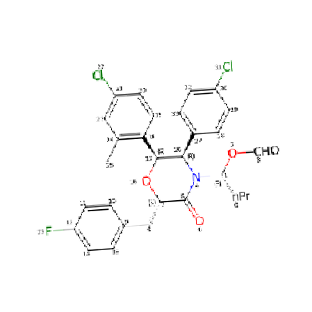 CCC[C@@H](OC=O)N1C(=O)[C@H](Cc2ccc(F)cc2)O[C@@H](c2ccc(Cl)cc2C)[C@H]1c1ccc(Cl)cc1